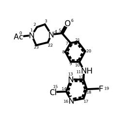 CC(=O)N1CCN(C(=O)c2ccc(Nc3nc(Cl)ncc3F)cc2)CC1